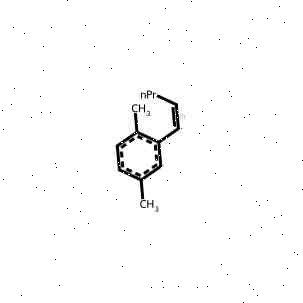 CCC/C=[C]\c1cc(C)ccc1C